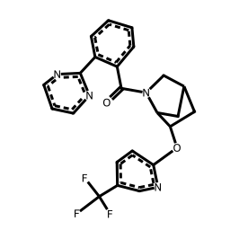 O=C(c1ccccc1-c1ncccn1)N1CC2CC(Oc3ccc(C(F)(F)F)cn3)C1C2